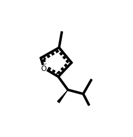 Cc1coc([C@H](C)C(C)C)c1